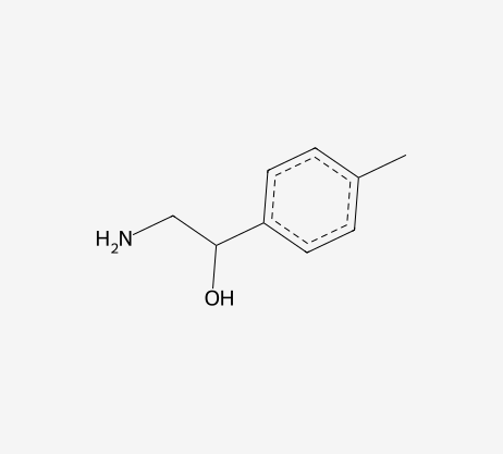 Cc1ccc(C(O)CN)cc1